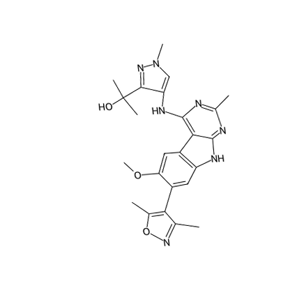 COc1cc2c(cc1-c1c(C)noc1C)[nH]c1nc(C)nc(Nc3cn(C)nc3C(C)(C)O)c12